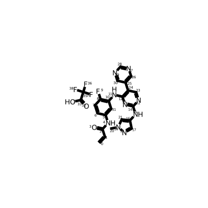 C=CC(=O)Nc1ccc(F)c(Nc2nc(Nc3cnn(C)c3)ncc2-c2cncnc2)c1.O=C(O)C(F)(F)F